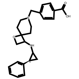 O=C(O)c1ccc(CN2CCC3(CC2)OCC3NC2C[C@H]2c2ccccc2)cc1